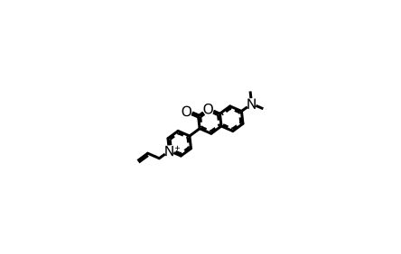 C=CC[n+]1ccc(-c2cc3ccc(N(C)C)cc3oc2=O)cc1